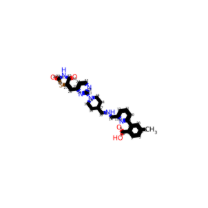 Cc1ccc(C(=O)O)c(-c2cccc(CNCC3CCN(c4nccc(C=C5SC(=O)NC5=O)n4)CC3)n2)c1